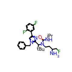 CC(C)NC(=O)N(CCC(N)CF)C(c1nc(-c2cc(F)ccc2F)cn1Cc1ccccc1)C(C)(C)C